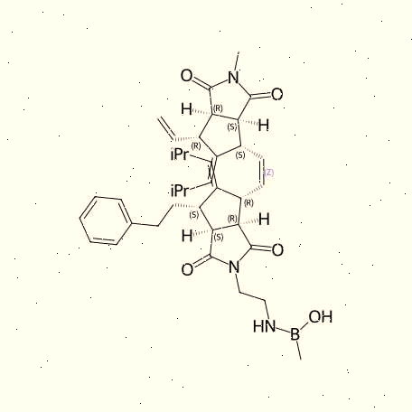 C=C[C@H]1C(=CC(C)C)[C@@H](/C=C\[C@H]2C(=CC(C)C)[C@@H](CCc3ccccc3)[C@@H]3C(=O)N(CCNB(C)O)C(=O)[C@@H]32)[C@@H]2C(=O)N(C)C(=O)[C@@H]21